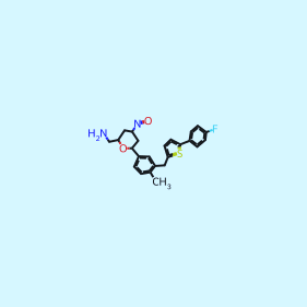 Cc1ccc(C2CC(N=O)CC(CN)O2)cc1Cc1ccc(-c2ccc(F)cc2)s1